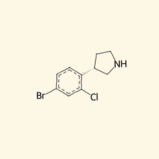 Clc1cc(Br)ccc1[C@@H]1CCNC1